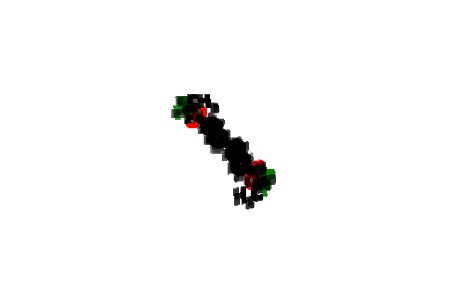 C[C@H](OC(=O)c1ccc2cc(-c3ccc4cc(C(=O)O[C@H](C)C(F)(F)F)ccc4c3)ccc2c1)C(F)(F)F